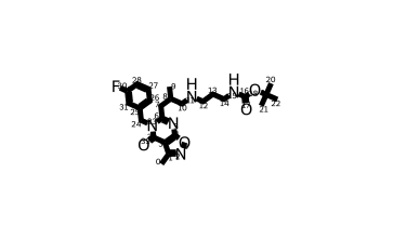 Cc1noc2nc(CC(C)CNCCCNC(=O)OC(C)(C)C)n(Cc3cccc(F)c3)c(=O)c12